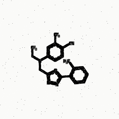 Cc1ccccc1-c1nnc(CN(CC(F)(F)F)c2ccc(C#N)c(C(F)(F)F)c2)o1